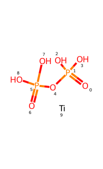 O=P(O)(O)OP(=O)(O)O.[Ti]